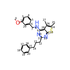 COc1cccc(CNc2nc(CCCc3ccccc3)nc3sc(C)c(C)c23)c1